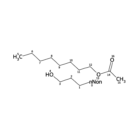 CCCCCCCCCCCCO.CCCCCCCCOC(C)=O